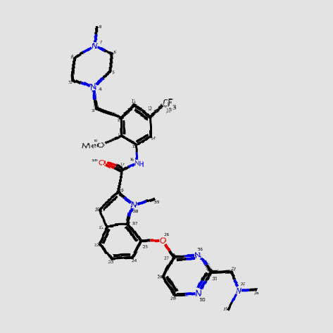 COc1c(CN2CCN(C)CC2)cc(C(F)(F)F)cc1NC(=O)c1cc2cccc(Oc3ccnc(CN(C)C)n3)c2n1C